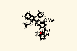 COc1cc(C(=O)N2C[C@H]3CC[C@@H]2[C@@H]3N)cc2nc(-c3cc4cccnc4n3CC3CC3)n(C3CCOC3)c12